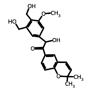 COc1cc(C(O)C(=O)c2ccc3c(c2)C=CC(C)(C)O3)cc(CO)c1CO